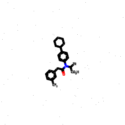 CCC(C(=O)O)N(C(=O)Cc1cccc(C(F)(F)F)c1)c1ccc(C2CCCCC2)cc1